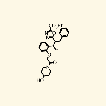 [CH2]C(c1ccccc1OCC(=O)N1CCC(O)CC1)C(Cc1ccccc1)c1nnc(C(=O)OCC)o1